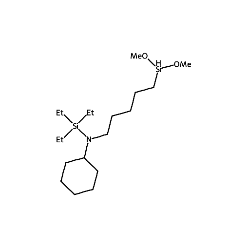 CC[Si](CC)(CC)N(CCCCC[SiH](OC)OC)C1CCCCC1